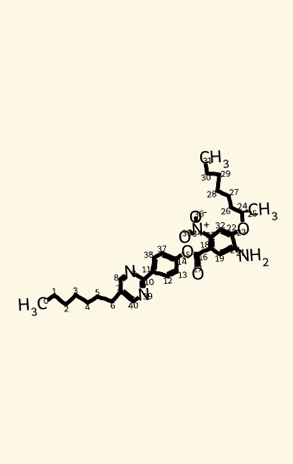 CCCCCCCc1cnc(-c2ccc(OC(=O)c3cc(N)c(O[C@H](C)CCCCCC)cc3[N+](=O)[O-])cc2)nc1